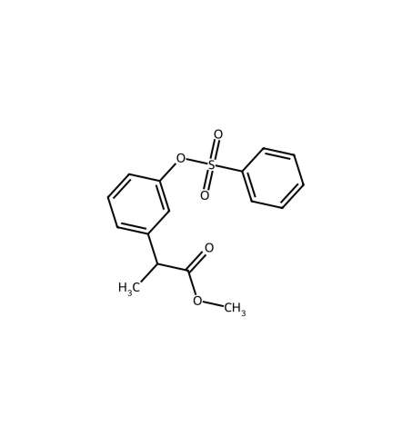 COC(=O)C(C)c1cccc(OS(=O)(=O)c2ccccc2)c1